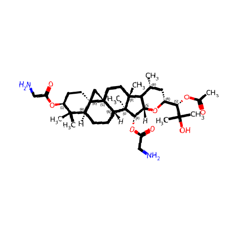 CC(=O)O[C@@H]([C@H]1C[C@@H](C)C2[C@H](O1)[C@H](OC(=O)CN)[C@@]1(C)[C@@H]3CC[C@H]4C(C)(C)[C@@H](OC(=O)CN)CC[C@@]45C[C@@]35CC[C@]21C)C(C)(C)O